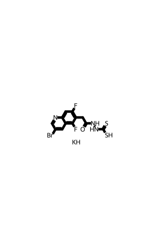 O=C(Cc1c(F)cc2ncc(Br)cc2c1F)NNC(=S)S.[KH]